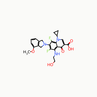 COc1cccc2c1CN(c1c(F)c(NCCO)c3c(=O)c(C(=O)O)cn(C4CC4)c3c1F)C2